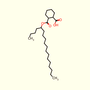 CCCCCCCCCCCCCC(CCCC)OC(=O)C1CCCCC1C(=O)O